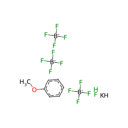 COc1ccccc1.F.F[B-](F)(F)F.F[B-](F)(F)F.F[B-](F)(F)F.[KH]